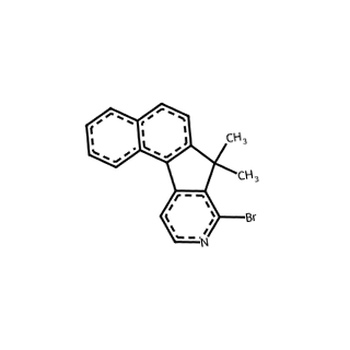 CC1(C)c2ccc3ccccc3c2-c2ccnc(Br)c21